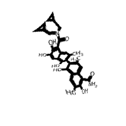 Cc1cc2c(C(N)=O)c(O)c(O)cc2c(O)c1-c1c(C)cc2c(C(=O)N(CC3CC3)CC3CC3)c(O)c(O)cc2c1O